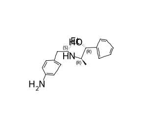 CC[C@@H](Cc1ccc(N)cc1)N[C@H](C)[C@H](O)c1ccccc1